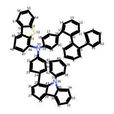 c1ccc(-c2ccccc2-c2ccccc2-c2ccc(N(c3ccc(-c4cccc5c6ccccc6n(-c6ccccc6)c45)cc3)c3cccc4c3sc3ccccc34)cc2)cc1